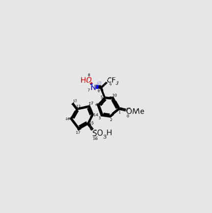 COc1cccc(/C(=N/O)C(F)(F)F)c1.Cc1ccc(S(=O)(=O)O)cc1